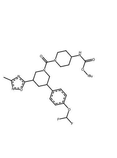 Cc1noc(C2CC(c3ccc(OC(F)F)cc3)CN(C(=O)N3CCC(NC(=O)OC(C)(C)C)CC3)C2)n1